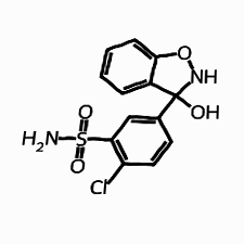 NS(=O)(=O)c1cc(C2(O)NOc3ccccc32)ccc1Cl